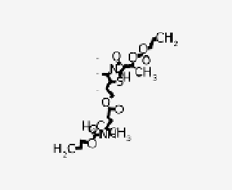 [C]C1C(CCOC(=O)CCC(C)(C)NC(=O)OCC=C)S[C@@H]2[C@@H]([C@@H](C)OC(=O)OCC=C)C(=O)N12